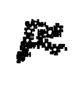 NC1CCN(C(=O)C2CCN(c3cccc(C(F)(F)F)c3)CC2)C1.O=C(C1CCN(c2cccc(C(F)(F)F)c2)CC1)N1CC[C@H](NC2CCC(O)(c3ccccn3)CC2)C1.O=C(O)C(F)(F)F.O=C(O)C(F)(F)F